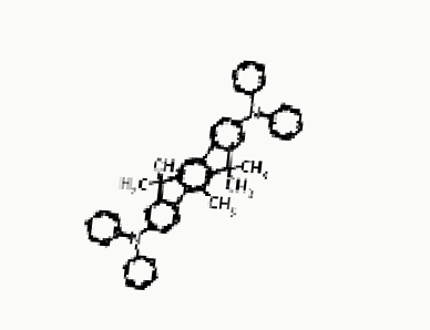 Cc1c2c(cc3c1C(C)(C)c1cc(N(c4ccccc4)c4ccccc4)ccc1-3)C(C)(C)c1cc(N(c3ccccc3)c3ccccc3)ccc1-2